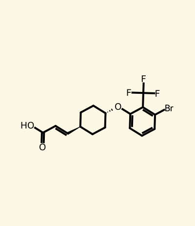 O=C(O)/C=C/[C@H]1CC[C@H](Oc2cccc(Br)c2C(F)(F)F)CC1